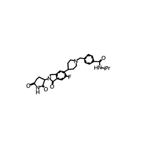 CC(C)NC(=O)c1ccc(CN2CCC(c3cc4c(cc3F)C(=O)N(C3CCC(=O)NC3=O)C4)CC2)cc1